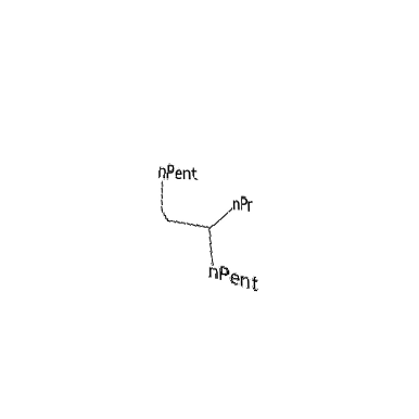 [CH2]CCCCC(CCC)CCCCCC